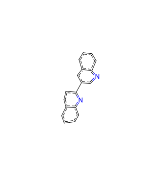 c1ccc2ncc(-c3ccc4ccccc4n3)cc2c1